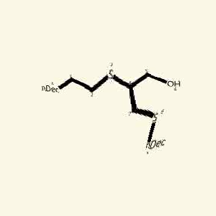 CCCCCCCCCCCCSC(CO)CSCCCCCCCCCC